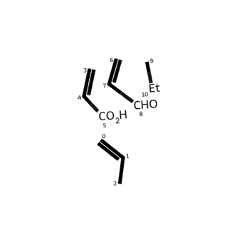 C=CC.C=CC(=O)O.C=CC=O.CCC